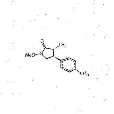 CON1C[C@H](c2ccc(C)cc2)[C@@H](C)C1=O